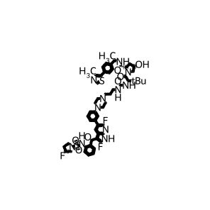 Cc1ncsc1-c1ccc(C(C)NC(=O)[C@@H]2C[C@@H](O)CN2C(=O)C(NC(=O)NCCCN2CCN(c3cccc(-c4cc5c(C(=O)c6ccccc6NS(=O)(=O)N6CC[C@@H](F)C6)c(F)[nH]c5nc4F)c3)CC2)C(C)(C)C)cc1